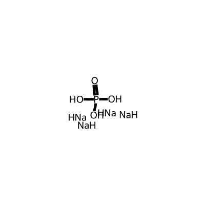 O=P(O)(O)O.[NaH].[NaH].[NaH].[NaH]